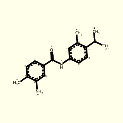 Cc1ccc(C(=O)Nc2ccc(C(C)C)c(C)c2)cc1N